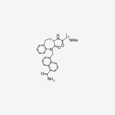 CN[C@@H](C)C(=O)NC1CCc2ccccc2N(Cc2cccc3c(C(N)=O)cccc23)C1=O